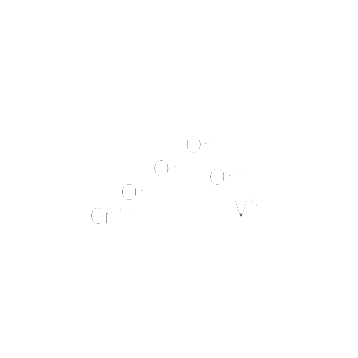 [Cr+3].[O-2].[O-2].[O-2].[O-2].[V+5]